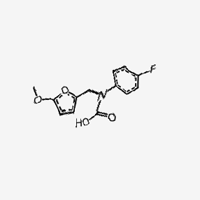 COc1ccc(CN(C(=O)O)c2ccc(F)cc2)o1